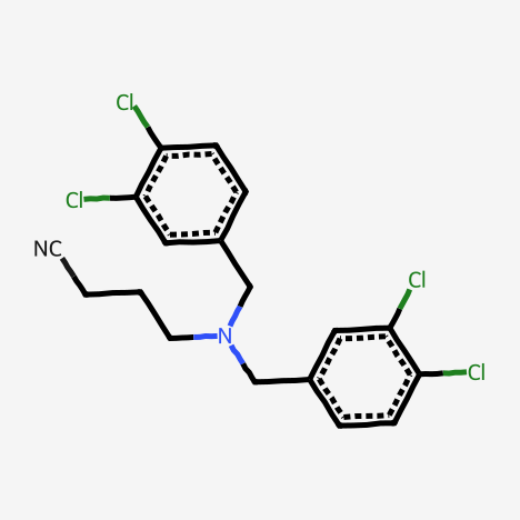 N#CCCCN(Cc1ccc(Cl)c(Cl)c1)Cc1ccc(Cl)c(Cl)c1